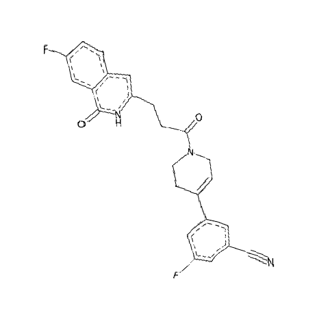 N#Cc1cc(F)cc(C2=CCN(C(=O)CCc3cc4ccc(F)cc4c(=O)[nH]3)CC2)c1